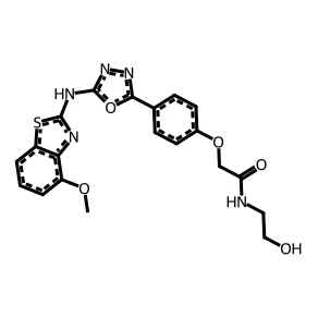 COc1cccc2sc(Nc3nnc(-c4ccc(OCC(=O)NCCO)cc4)o3)nc12